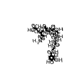 CC(C)(O/N=C(\C(=O)NC1C(=O)N2C[C@@](C(=O)O)(N3CCN(NC(=O)NNC(=O)NCCNC(=O)c4ccc(O)c(O)c4Cl)C3=O)S[C@H]12)c1csc(N)n1)C(=O)O